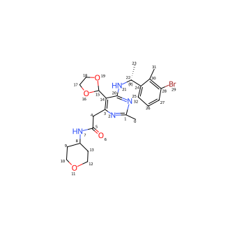 Cc1nc(CC(=O)NC2CCOCC2)c(C2OCCO2)c(N[C@H](C)c2cccc(Br)c2C)n1